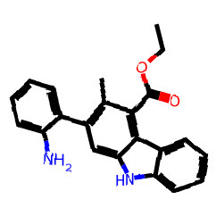 CCOC(=O)c1c(C)c(-c2ccccc2N)cc2[nH]c3ccccc3c12